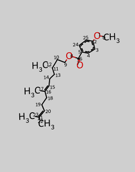 COc1ccc(C(=O)OCC[C@@H](C)CC/C=C(\C)CCC=C(C)C)cc1